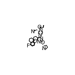 C=CC(=O)N1CCN(c2nc(OC[C@@H]3CCCN3C)nc3c2CCC2(CCCc4c(F)cccc42)O3)C[C@@H]1CC#N